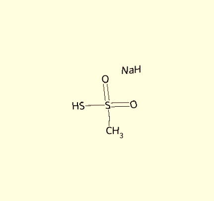 CS(=O)(=O)S.[NaH]